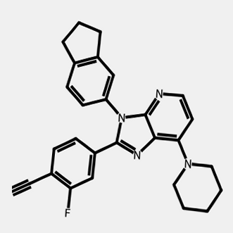 N#Cc1ccc(-c2nc3c(N4CCCCC4)ccnc3n2-c2ccc3c(c2)CCC3)cc1F